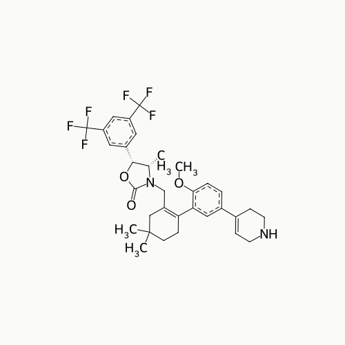 COc1ccc(C2=CCNCC2)cc1C1=C(CN2C(=O)O[C@H](c3cc(C(F)(F)F)cc(C(F)(F)F)c3)[C@@H]2C)CC(C)(C)CC1